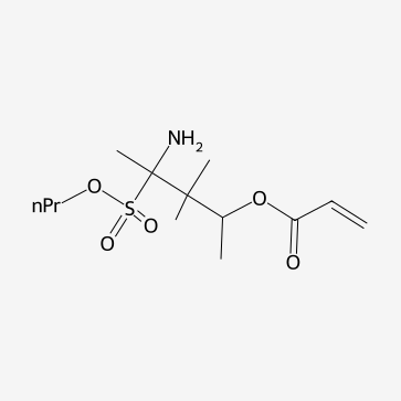 C=CC(=O)OC(C)C(C)(C)C(C)(N)S(=O)(=O)OCCC